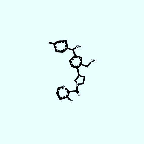 Cc1ccc(C(O)c2ccc(C3CCN(C(=O)c4ncccc4Cl)C3)c(CO)c2)cc1